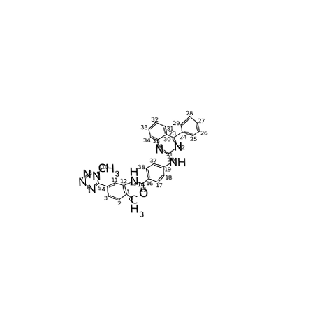 Cc1ccc(-c2nnnn2C)cc1NC(=O)c1ccc(Nc2nc(-c3ccccc3)c3ccccc3n2)cc1